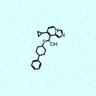 O[C@@H](SC1CCC(c2ccccc2)CC1)c1c(C2CC2)ccn2cncc12